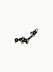 COc1cc(C=O)c(C)cc1OCCCCCOc1cc2c(cc1OC)C(=O)N1C=C(c3cccc(C)c3)CC1C=N2